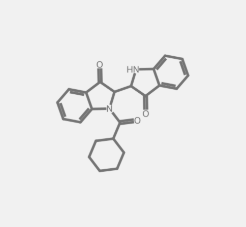 O=C1c2ccccc2NC1C1C(=O)c2ccccc2N1C(=O)C1CCCCC1